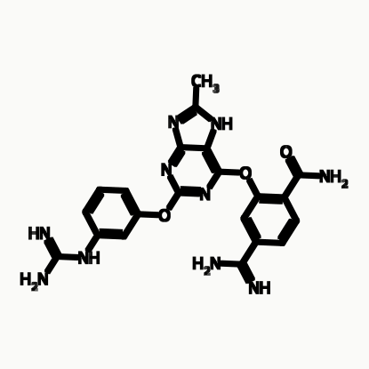 Cc1nc2nc(Oc3cccc(NC(=N)N)c3)nc(Oc3cc(C(=N)N)ccc3C(N)=O)c2[nH]1